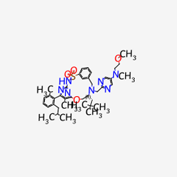 COCCN(C)c1cnc(CN2Cc3cccc(c3)S(=O)(=O)Nc3nc(c(C)c(-c4c(C)cccc4CC(C)C)n3)OC[C@H]2CC(C)(C)C)nc1